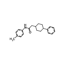 Cc1ccc(NC(=O)CC2CCC(c3ccccc3)CC2)cc1